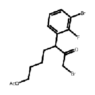 CC(=O)OCCCCC(C(=O)CBr)c1cccc(Br)c1F